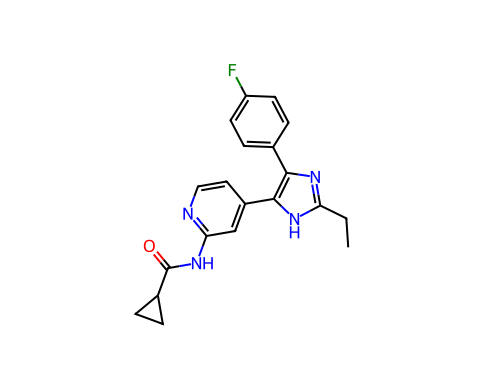 CCc1nc(-c2ccc(F)cc2)c(-c2ccnc(NC(=O)C3CC3)c2)[nH]1